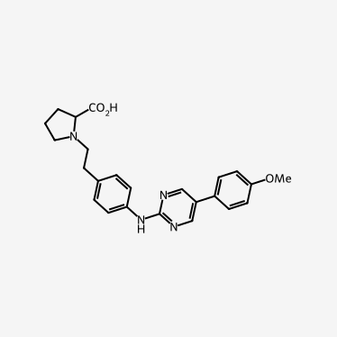 COc1ccc(-c2cnc(Nc3ccc(CCN4CCCC4C(=O)O)cc3)nc2)cc1